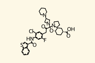 O=C(Nc1cc(F)c(CC(=O)C(O[C@H]2CC[C@H](C(=O)O)CC2)(N2CCCC2)N2CC(N3CCCCC3)C2)cc1Cl)c1csc2ccccc12